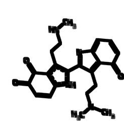 CNCCc1c(C2=NC3=CC=CC(=O)C3=C2CCN(C)C)[nH]c2c1C(=O)C(=O)C=C2